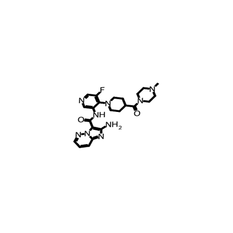 CN1CCN(C(=O)C2CCN(c3c(F)cncc3NC(=O)c3c(N)nc4cccnn34)CC2)CC1